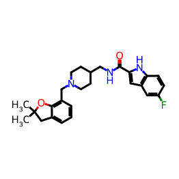 CC1(C)Cc2cccc(CN3CCC(CNC(=O)c4cc5cc(F)ccc5[nH]4)CC3)c2O1